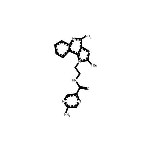 CCCCc1nc2c(N)nc3ccccc3c2n1CCNC(=O)c1cnc(N)cn1